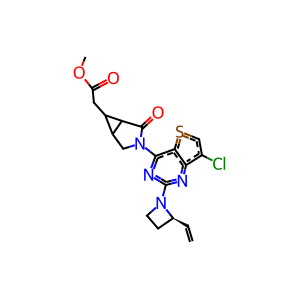 C=C[C@H]1CCN1c1nc(N2CC3C(CC(=O)OC)C3C2=O)c2scc(Cl)c2n1